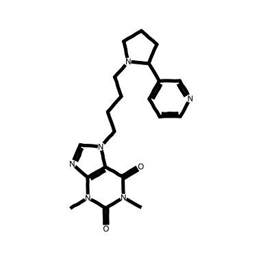 Cn1c(=O)c2c(ncn2CCCCN2CCCC2c2cccnc2)n(C)c1=O